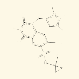 Cc1cc(Cn2c(=O)n(C)c(=O)c3cc(S(=O)(=O)NC4(C)CC4)c(F)cc32)n(C)n1